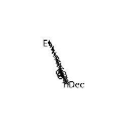 CC/C=C/C/C=C/C/C=C/C/C=C/C/C=C/CCCC(=O)CC(=O)CCCCCCCCCCCCCCC